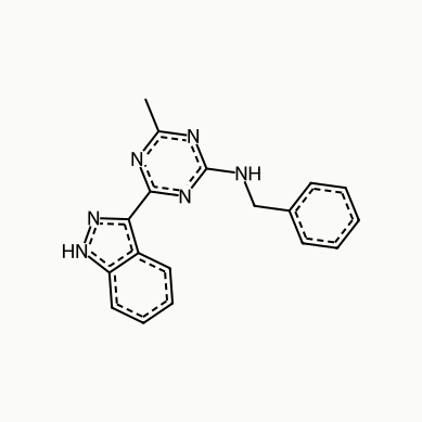 Cc1nc(NCc2ccccc2)nc(-c2n[nH]c3ccccc23)n1